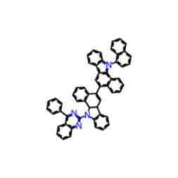 C1=C(c2cc3c4ccccc4n(-c4cccc5ccccc45)c3c3ccccc23)c2ccccc2C2C1c1ccccc1N2c1nc(-c2ccccc2)c2ccccc2n1